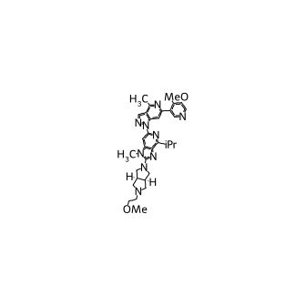 COCCN1C[C@@H]2CN(c3nc4c(C(C)C)nc(-n5ncc6c(C)nc(-c7cnccc7OC)cc65)cc4n3C)C[C@@H]2C1